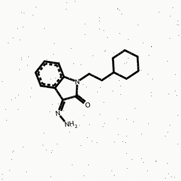 NN=C1C(=O)N(CCC2CCCCC2)c2ccccc21